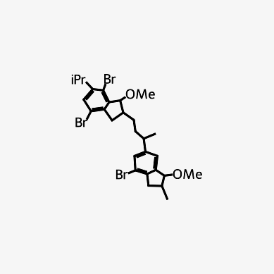 COC1c2cc(C(C)CCC3Cc4c(Br)cc(C(C)C)c(Br)c4C3OC)cc(Br)c2CC1C